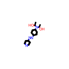 CC(O)N(c1ccc(/N=N/c2ccncc2)cc1)C(C)O